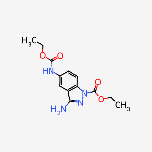 CCOC(=O)Nc1ccc2c(c1)c(N)nn2C(=O)OCC